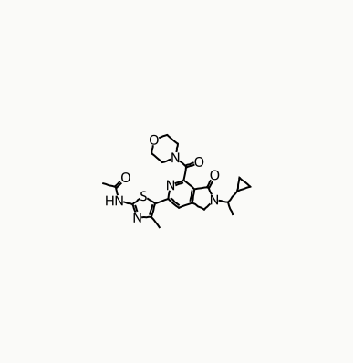 CC(=O)Nc1nc(C)c(-c2cc3c(c(C(=O)N4CCOCC4)n2)C(=O)N(C(C)C2CC2)C3)s1